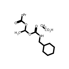 CC(=O)O.CCCC(=O)OC(C)OC(=O)NCC1CCCCC1